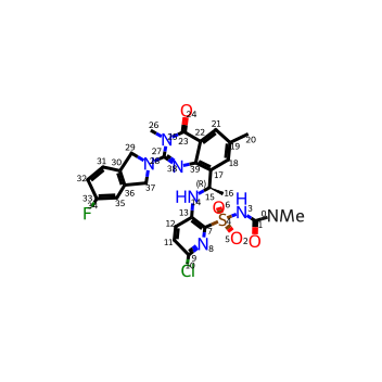 CNC(=O)NS(=O)(=O)c1nc(Cl)ccc1N[C@H](C)c1cc(C)cc2c(=O)n(C)c(N3Cc4ccc(F)cc4C3)nc12